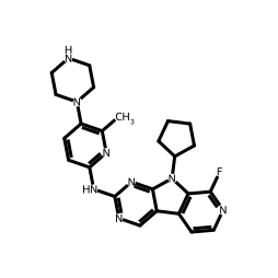 Cc1nc(Nc2ncc3c4ccnc(F)c4n(C4CCCC4)c3n2)ccc1N1CCNCC1